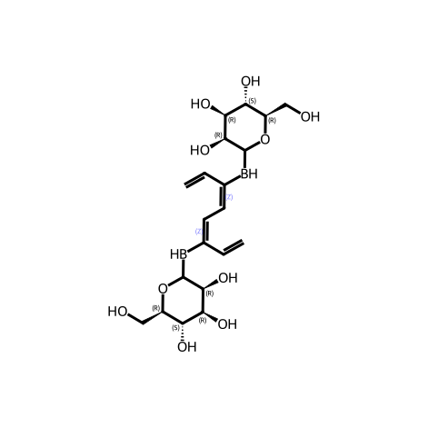 C=C/C(BC1O[C@H](CO)[C@@H](O)[C@H](O)[C@@H]1O)=C\C=C(\BC1O[C@H](CO)[C@@H](O)[C@H](O)[C@@H]1O)C=C